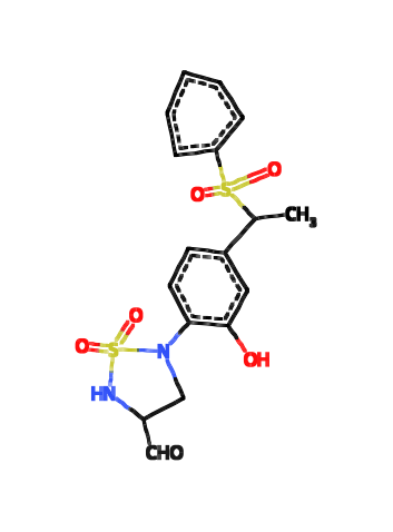 CC(c1ccc(N2CC(C=O)NS2(=O)=O)c(O)c1)S(=O)(=O)c1ccccc1